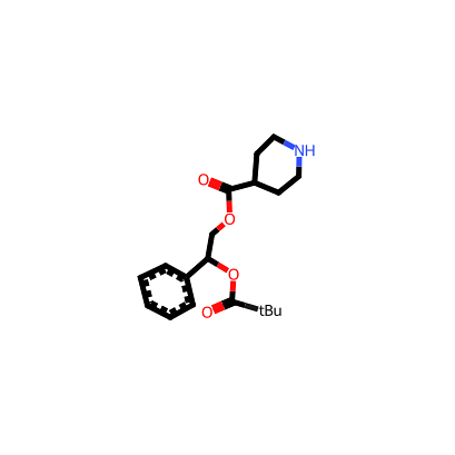 CC(C)(C)C(=O)OC(COC(=O)C1CCNCC1)c1ccccc1